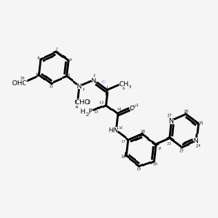 C/C(=N/N(C=O)c1cccc(C=O)c1)C(P)C(=O)Nc1cccc(-c2cnccn2)c1